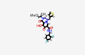 COC[C@H](C)N1CN(Cc2ccsc2)n2cc(C(=O)NCc3ccc(F)cc3F)c(=O)c(O)c2C1=O